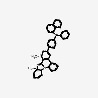 C[C@@H]1CC(c2ccc(N(c3ccccc3)c3cccc4ccccc34)cc2)=CC2=C1C1=N[C@@]3(C)C=CC=CC3N1c1ccccc12